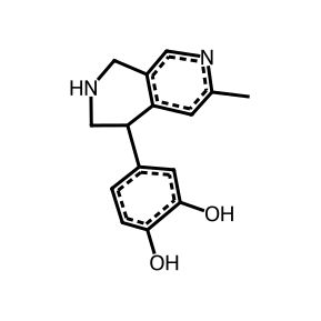 Cc1cc2c(cn1)CNCC2c1ccc(O)c(O)c1